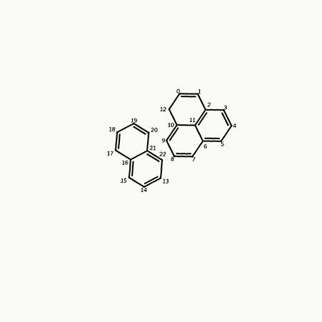 C1=Cc2cccc3cccc(c23)C1.c1ccc2ccccc2c1